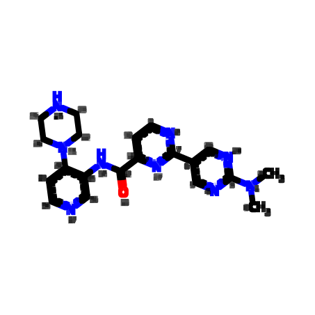 CN(C)c1ncc(-c2nccc(C(=O)Nc3cnccc3N3CCNCC3)n2)cn1